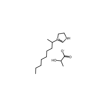 CC(O)C(=O)[O-].CCCCCCCC(C)[N+]1=CNCC1